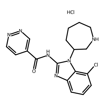 Cl.O=C(Nc1nc2cccc(Cl)c2n1C1CCCCNC1)c1ccnnc1